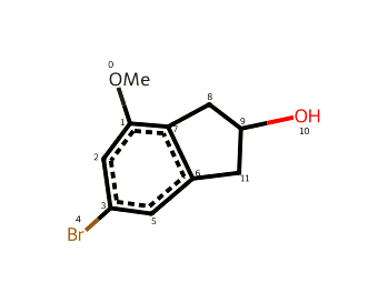 COc1cc(Br)cc2c1CC(O)C2